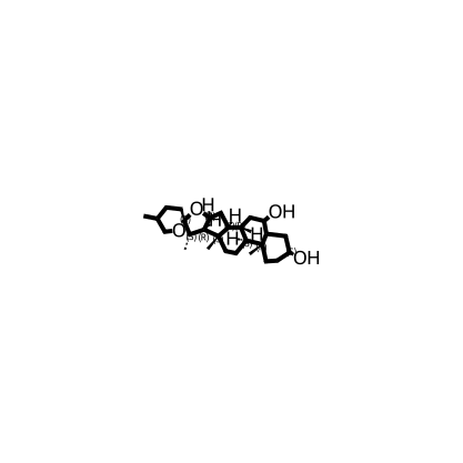 CC1CC[C@@]2(OC1)O[C@H]1C[C@H]3[C@@H]4CC(O)C5C[C@@H](O)CC[C@]5(C)[C@H]4CC[C@]3(C)[C@H]1[C@@H]2C